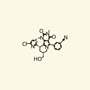 Cn1c(=O)c2c(-c3cccc(C#N)c3)n3c(c2n(C)c1=O)[C@H](c1nc(Cl)cs1)C[C@H](CO)C3